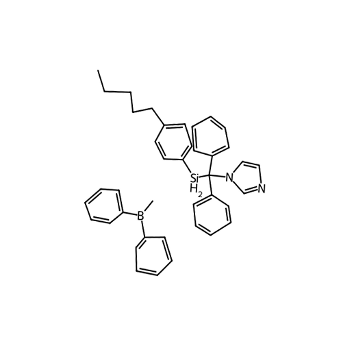 CB(c1ccccc1)c1ccccc1.CCCCCc1ccc([SiH2]C(c2ccccc2)(c2ccccc2)n2ccnc2)cc1